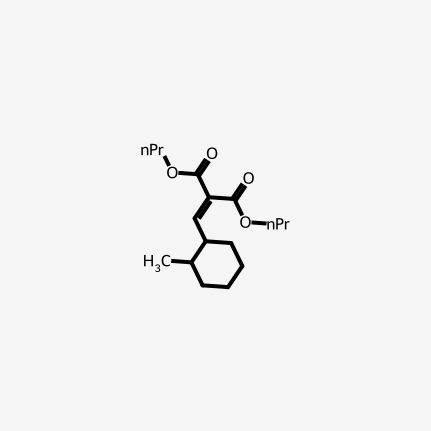 CCCOC(=O)C(=CC1CCCCC1C)C(=O)OCCC